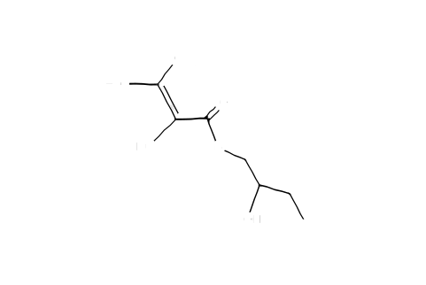 CC(C)=C(C)C(=O)OCC(O)CO